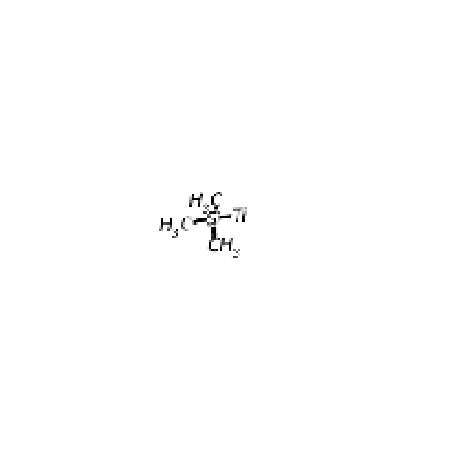 C[Si](C)(C)[Ti]